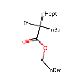 CCCCCCCCCCCOC(=O)C(CC)(CCCC)CCCCCCC